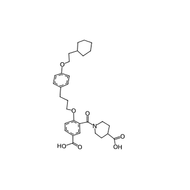 O=C(O)c1ccc(OCCCc2ccc(OCCC3CCCCC3)cc2)c(C(=O)N2CCC(C(=O)O)CC2)c1